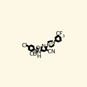 N#Cc1cc(NS(=O)(=O)c2ccc(Cl)cc2Cl)cnc1N1CCN(c2cccc(C(F)(F)F)c2)CC1